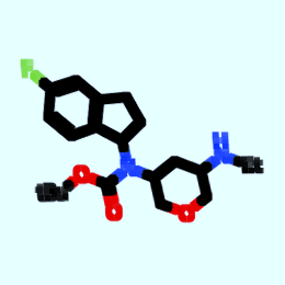 CCNC1COCC(N(C(=O)OC(C)(C)C)C2CCc3cc(F)ccc32)C1